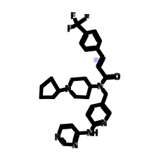 O=C(/C=C/c1ccc(C(F)(F)F)cc1)N(Cc1ccc(Nc2ccncn2)nc1)C1CCN(C2CCCC2)CC1